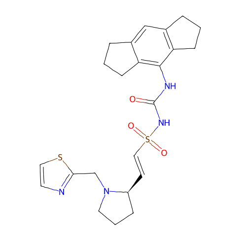 O=C(Nc1c2c(cc3c1CCC3)CCC2)NS(=O)(=O)/C=C/[C@H]1CCCN1Cc1nccs1